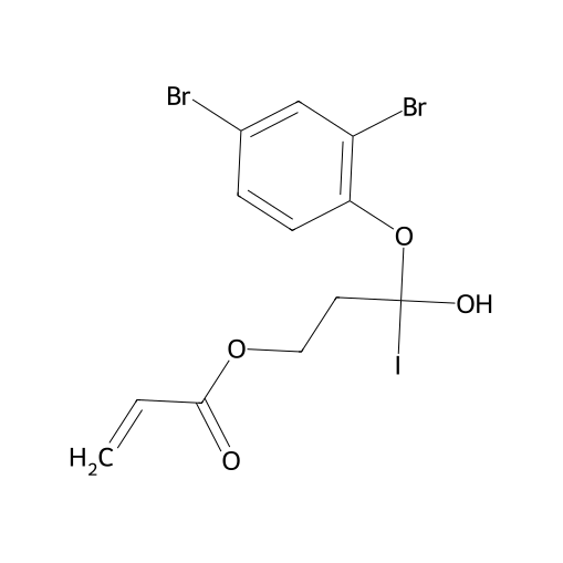 C=CC(=O)OCCC(O)(I)Oc1ccc(Br)cc1Br